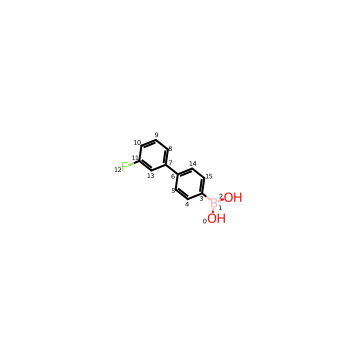 OB(O)c1ccc(-c2cccc(F)c2)cc1